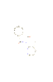 Bc1cccnc1N1C(=O)c2ccccc2C1=O